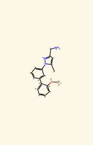 Cc1cc(CN)nn1-c1cccc(-c2ccccc2OC(F)(F)F)c1